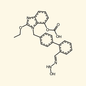 CCOc1nc2cccc(OC(=O)O)c2n1Cc1ccc(-c2ccccc2C=NNO)cc1